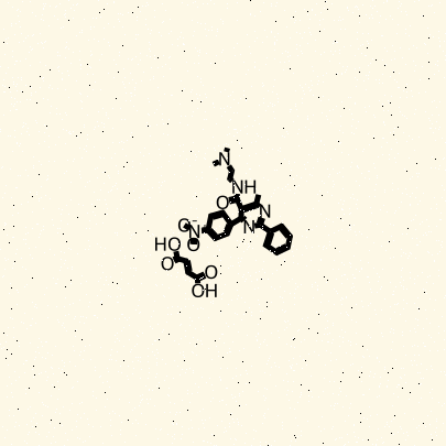 Cc1nc(-c2ccccc2)nc(-c2ccc([N+](=O)[O-])cc2)c1C(=O)NCCN(C)C.O=C(O)/C=C/C(=O)O